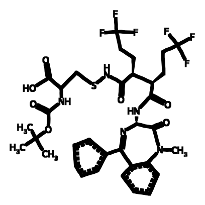 CN1C(=O)[C@@H](NC(=O)[C@H](CCC(F)(F)F)[C@H](CCC(F)(F)F)C(=O)NSCC(NC(=O)OC(C)(C)C)C(=O)O)N=C(c2ccccc2)c2ccccc21